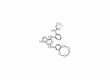 C=CC(=O)Nc1ccccc1Nc1nc(Nc2ccc3c(c2)OCOCCOCO3)nc2[nH]cnc12